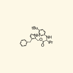 CC(C)C(Nc1ccc(C(C)(C)C)cc1)C(=O)OCc1[nH]ccc1Cc1ccccc1